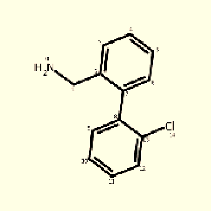 NCc1ccccc1-c1ccccc1Cl